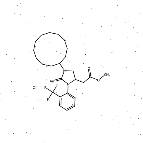 COC(=O)CC1CN(C2CCCCCCCCCCC2)[C](=[Au+])N1c1ccccc1C(F)(F)F.[Cl-]